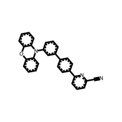 N#Cc1cccc(-c2ccc(-c3cccc(N4c5ccccc5Oc5ccccc54)c3)cc2)n1